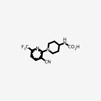 N#Cc1ccc(C(F)(F)F)nc1N1CCC(NC(=O)O)CC1